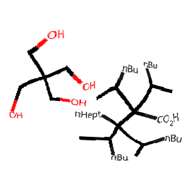 CCCCCCCC(C(C)CCCC)(C(C)CCCC)C(C(=O)O)(C(C)CCCC)C(C)CCCC.OCC(CO)(CO)CO